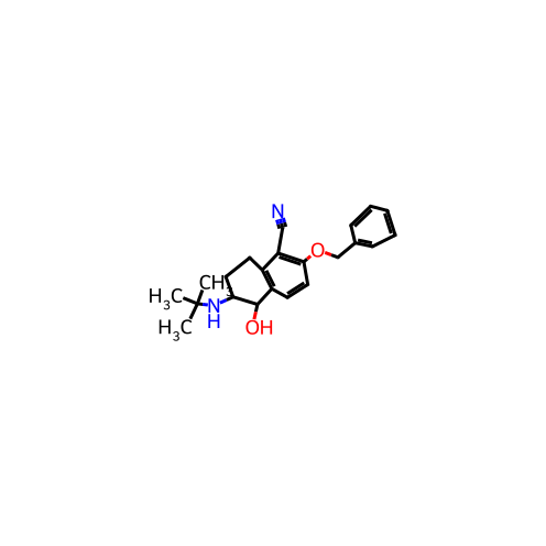 CC(C)(C)NC1CCc2c(ccc(OCc3ccccc3)c2C#N)C1O